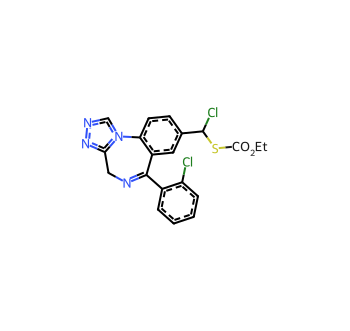 CCOC(=O)SC(Cl)c1ccc2c(c1)C(c1ccccc1Cl)=NCc1nncn1-2